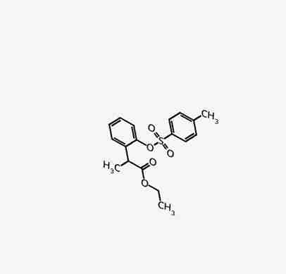 CCOC(=O)C(C)c1ccccc1OS(=O)(=O)c1ccc(C)cc1